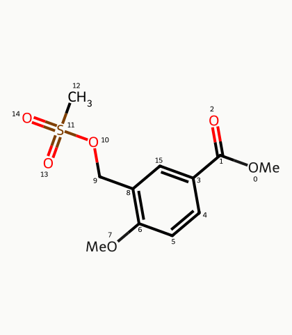 COC(=O)c1ccc(OC)c(COS(C)(=O)=O)c1